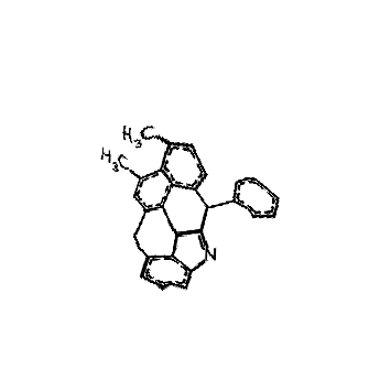 Cc1ccc2c3c4c(cc(C)c13)Cc1cccc3c1C4C(=N3)C2c1ccccc1